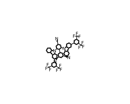 N#Cc1cc(C#N)cc(-c2c(-n3c4ccccc4c4cc(-c5cc(C(F)(F)F)cc(C(F)(F)F)c5)ccc43)cc(C#N)cc2-n2c3ccccc3c3cc(-c4cc(C(F)(F)F)cc(C(F)(F)F)c4)ccc32)c1